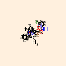 Cc1sc(S(=O)(=O)Nc2cccc(F)n2)cc1N(C)[C@@H]1[C@@H]2CC[C@H]1CN(Cc1ccccc1)C2